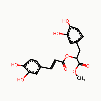 COC(=O)C(Cc1ccc(O)c(O)c1)OC(=O)/C=C/c1ccc(O)c(O)c1